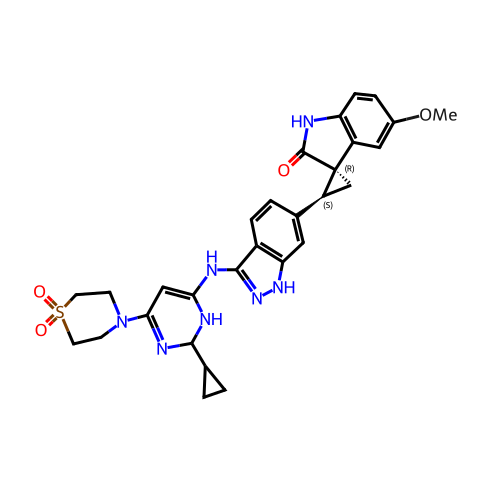 COc1ccc2c(c1)[C@]1(C[C@H]1c1ccc3c(NC4=CC(N5CCS(=O)(=O)CC5)=NC(C5CC5)N4)n[nH]c3c1)C(=O)N2